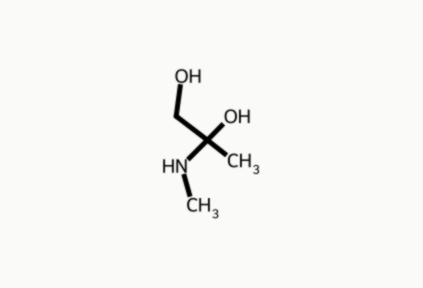 CNC(C)(O)CO